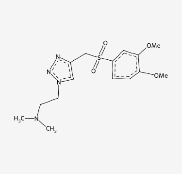 COc1ccc(S(=O)(=O)Cc2cn(CCN(C)C)nn2)cc1OC